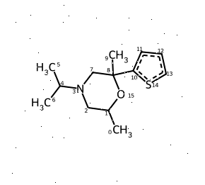 CC1CN(C(C)C)CC(C)(c2cccs2)O1